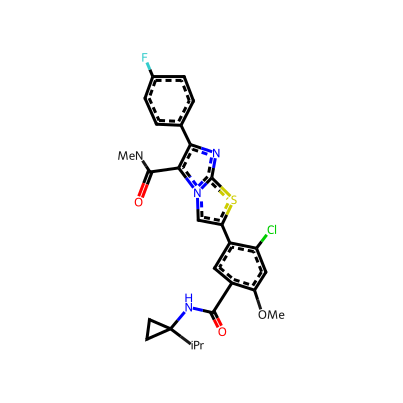 CNC(=O)c1c(-c2ccc(F)cc2)nc2sc(-c3cc(C(=O)NC4(C(C)C)CC4)c(OC)cc3Cl)cn12